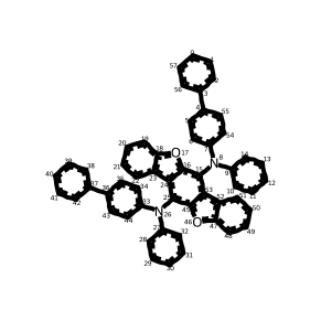 c1ccc(-c2ccc(N(c3ccccc3)c3c4oc5ccccc5c4c(N(c4ccccc4)c4ccc(-c5ccccc5)cc4)c4oc5ccccc5c34)cc2)cc1